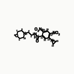 O=C(NCCN1CCOCC1)c1cc(N2CC2)c([N+](=O)[O-])cc1[N+](=O)[O-]